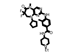 CCN1CCC(NC(=O)c2ccc(Nc3ncc4c(n3)N(C3CCCC3)CC(F)(F)C(=O)N4C)c(C)c2)CC1